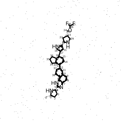 C[C@H]1CC[C@@H](c2nc3ccc4cc(-c5ccc(-c6c[nH]c([C@@H]7C[C@H](COC(F)F)CN7)c6)c6c5CCC6)ccc4c3[nH]2)N1